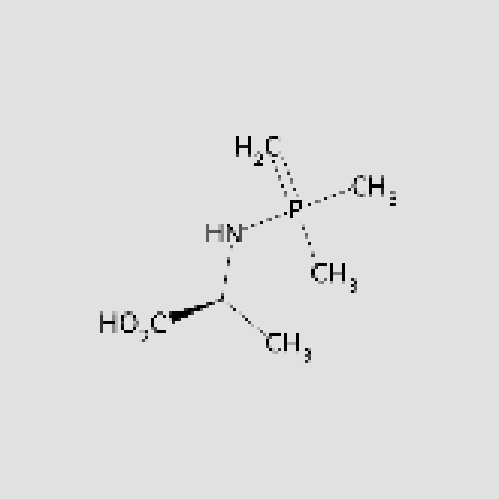 C=P(C)(C)N[C@@H](C)C(=O)O